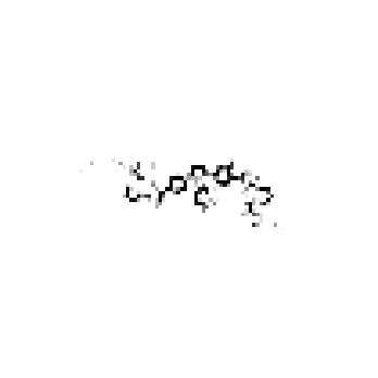 COC(=O)N[C@H](C(=O)N1CCC[C@H]1c1nc(-c2ccc([C@@H]3CC[C@@H](c4ccc(-c5c[nH]c([C@@H]6CCCN6C(=O)[C@@H](NC(=O)OC)C(C)C)n5)c(C)c4)N3c3ccc(C(F)(F)F)nc3)cc2)c[nH]1)C(C)C